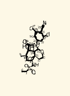 CCS(=O)(=O)N[C@@H]1C[C@@]2(C)O[C@@]13CCO[C@H]1[C@@H]3[C@@H]2C(=O)N1c1cc(Cl)c(C#N)c(Cl)c1